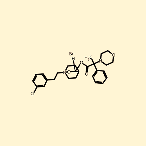 CC(C(=O)O[C@H]1C[N+]2(CCc3cccc(Cl)c3)CCC1CC2)(c1ccccc1)N1CCOCC1.[Br-]